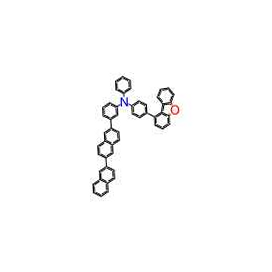 c1ccc(N(c2ccc(-c3cccc4oc5ccccc5c34)cc2)c2cccc(-c3ccc4cc(-c5ccc6ccccc6c5)ccc4c3)c2)cc1